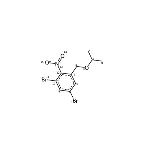 CC(C)OCc1cc(Br)cc(Br)c1[N+](=O)[O-]